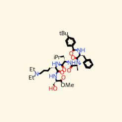 CCN(CC)CCCC[C@H](NC(=O)[C@H](CC(C)C)NC(=O)[C@H](C)N(C)C(=O)[C@@H](Cc1ccccc1)NC(=O)c1ccc(C(C)(C)C)cc1)C(=O)N[C@@H](CO)C(=O)OC